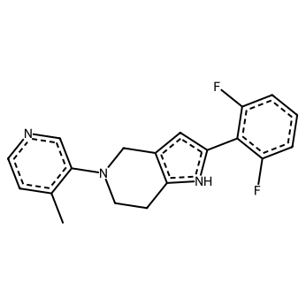 Cc1ccncc1N1CCc2[nH]c(-c3c(F)cccc3F)cc2C1